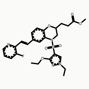 CCOc1nn(CC)cc1S(=O)(=O)N1CC(CCC(=O)OC)Oc2ccc(/C=C/c3ncccc3F)cc21